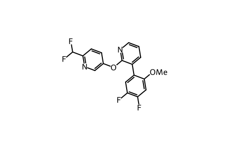 COc1cc(F)c(F)cc1-c1cccnc1Oc1ccc(C(F)F)nc1